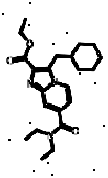 CCOC(=O)c1nc2cc(C(=O)N(CC)CC)ccn2c1CC1CCCCC1